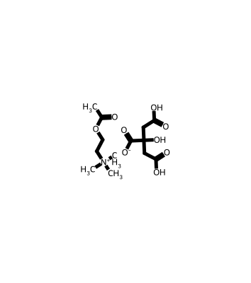 CC(=O)OCC[N+](C)(C)C.O=C(O)CC(O)(CC(=O)O)C(=O)[O-]